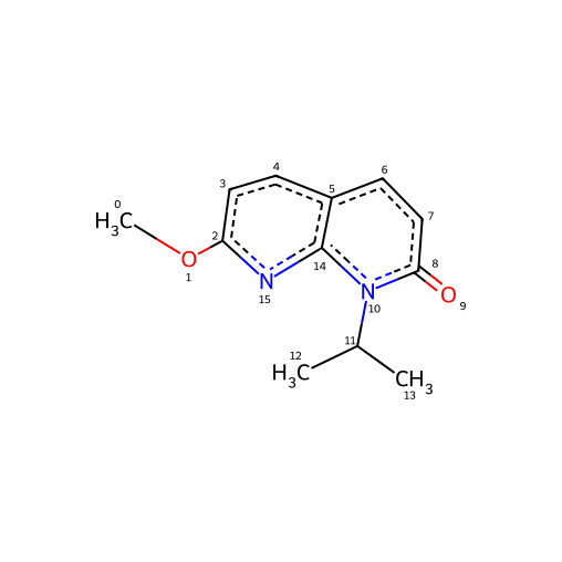 COc1ccc2ccc(=O)n(C(C)C)c2n1